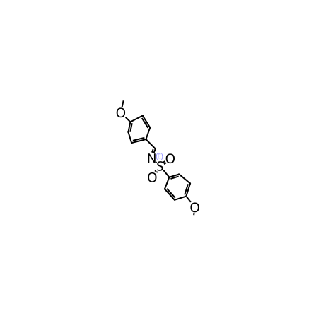 COc1ccc(/C=N/S(=O)(=O)c2ccc(OC)cc2)cc1